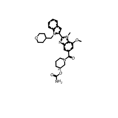 COc1cc(C(=O)N2CCC[C@@H](OC(N)=O)C2)cc2nc(-c3cc4ccccc4n3CC3CCOCC3)n(C)c12